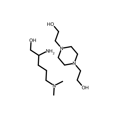 CN(C)CCCC(N)CO.OCCN1CCN(CCO)CC1